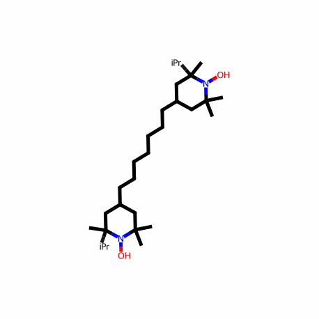 CC(C)C1(C)CC(CCCCCCCC2CC(C)(C)N(O)C(C)(C(C)C)C2)CC(C)(C)N1O